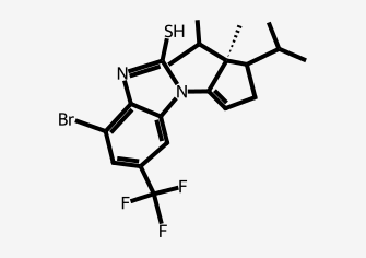 CC(C)C1CC=C(n2c(S)nc3c(Br)cc(C(F)(F)F)cc32)[C@@]1(C)C(C)C